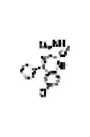 NC(=O)C1N=C(c2ccccc2)c2cc(Cl)ccc2NC1=O